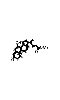 COC(=O)CCC(C)C1CCC2C3C(O)CC4=CC(=O)CCC4(C)C3CCC12C